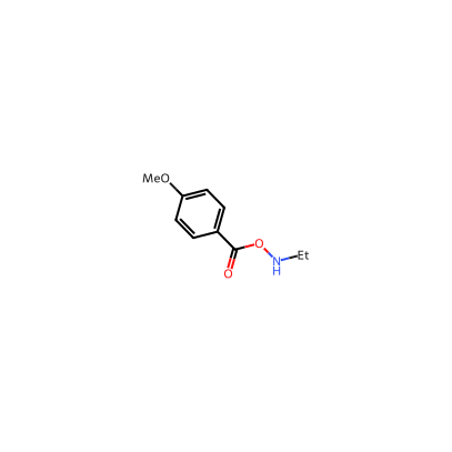 CCNOC(=O)c1ccc(OC)cc1